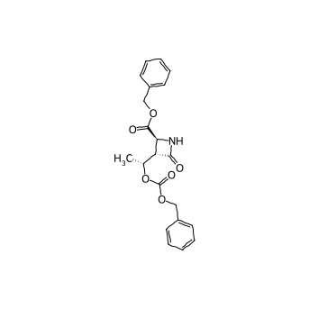 C[C@@H](OC(=O)OCc1ccccc1)[C@H]1C(=O)N[C@@H]1C(=O)OCc1ccccc1